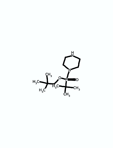 CC(C)(C)COP(=O)(N1CCNCC1)C(C)(C)C